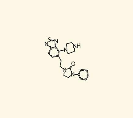 O=C1N(CCc2ccc3nsnc3c2N2CCNCC2)CCN1c1ccccc1